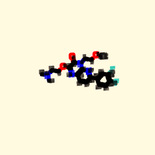 CCOCCn1c(=O)c(OCCN(C)C)nc2ccc(-c3ccc(F)c(F)c3)nc21